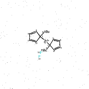 CCCC[C]1([Zr+2][C]2(CCCC)C=CC=C2)C=CC=C1.[F-].[F-]